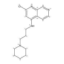 Clc1cc(NCCCN2CCCCC2)c2ccncc2n1